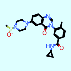 Cc1ccc(C(=O)NC2CC2)cc1-n1cnc2ccc(N3CCN([S+](C)[O-])CC3)cc2c1=O